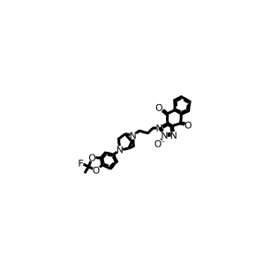 CC1(F)Oc2ccc(N3CC4CC3CN4CCCn3c4c(n[n+]3[O-])C(=O)c3ccccc3C4=O)cc2O1